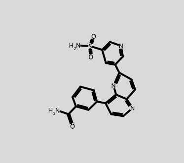 NC(=O)c1cccc(-c2ccnc3ccc(-c4cncc(S(N)(=O)=O)c4)nc23)c1